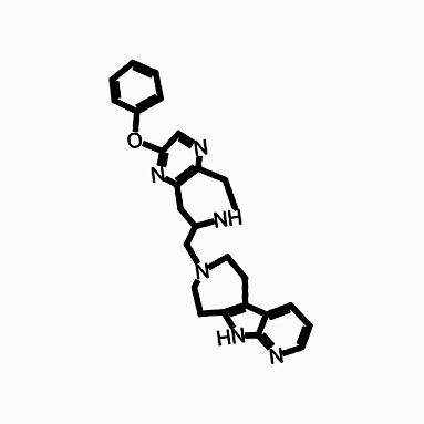 c1ccc(Oc2cnc3c(n2)CC(CN2CCc4[nH]c5ncccc5c4CC2)NCC3)cc1